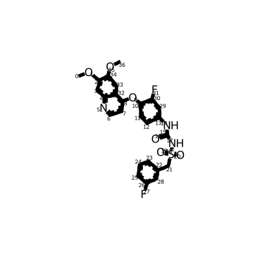 COc1cc2nccc(Oc3ccc(NC(=O)NS(=O)(=O)Cc4cccc(F)c4)cc3F)c2cc1OC